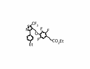 CCOC(=O)CCc1cc(F)c(OCc2c(-c3ccc(CC)cc3)nsc2C(F)(F)F)c(F)c1F